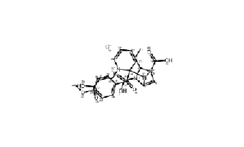 CCC1N(C(=O)O)C2=C[N+]1(C(=O)O)N2C1(C(=O)c2ccc(OC)cc2)C=CC=CN1CCC(=O)O.[Cl-]